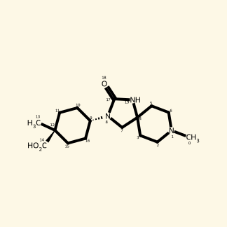 CN1CCC2(CC1)CN([C@H]1CC[C@](C)(C(=O)O)CC1)C(=O)N2